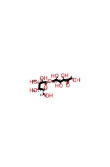 O=C(CO)[C@H](O)[C@@H](O)[C@H](O)CO[C@@H]1O[C@H](CO)[C@@H](O)[C@H](O)[C@H]1O